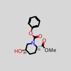 COC(=O)[C@@H]1CC[C@@H](O)CN1C(=O)Oc1ccccc1